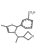 CC1=CN(N(C)C2COC2)C(c2cccc(C(=O)O)c2)S1